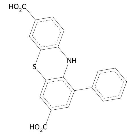 O=C(O)c1ccc2c(c1)Sc1cc(C(=O)O)cc(-c3ccccc3)c1N2